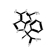 COC(=O)[C@@](C)(c1ccccc1)n1ncc2c(Cl)nc(N)nc21